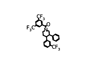 O=C(c1cc(C(F)(F)F)cc(C(F)(F)F)c1)N1CCC(c2cccc(C(F)(F)F)c2)C(c2ccccc2)C1